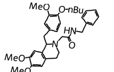 CCCCOc1ccc(CC2c3cc(OC)c(OC)cc3CCN2CC(=O)NCc2ccccc2)cc1OC